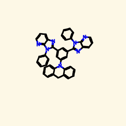 c1ccc(-n2c(-c3cc(-c4nc5cccnc5n4-c4ccccc4)cc(N4c5ccccc5Cc5ccccc54)c3)nc3cccnc32)cc1